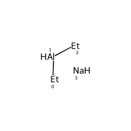 C[CH2][AlH][CH2]C.[NaH]